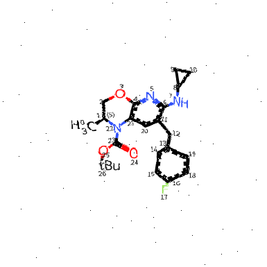 C[C@H]1COc2nc(NC3CC3)c(Cc3ccc(F)cc3)cc2N1C(=O)OC(C)(C)C